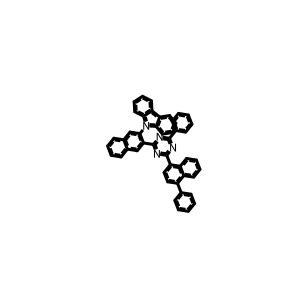 c1ccc(-c2nc(-c3cc4ccccc4cc3-n3c4ccccc4c4ccccc43)nc(-c3ccc(-c4ccccc4)c4ccccc34)n2)cc1